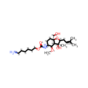 COC1C(NC(=O)OCCCCCCN)CC[C@@]2(CO)OC(CC=C(C)C)[C@@](C)(O)C12